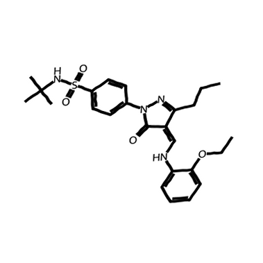 CCCC1=NN(c2ccc(S(=O)(=O)NC(C)(C)C)cc2)C(=O)/C1=C\Nc1ccccc1OCC